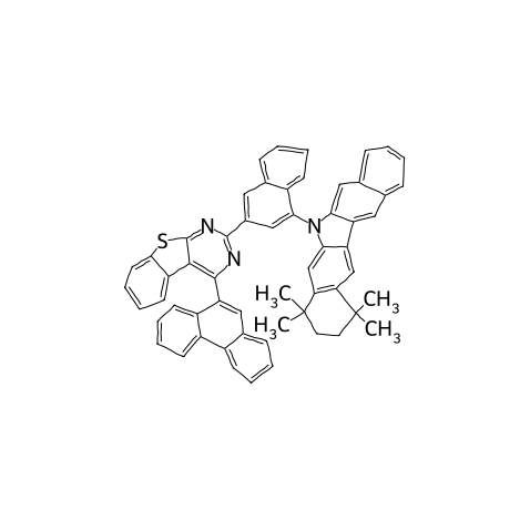 CC1(C)CCC(C)(C)c2cc3c(cc21)c1cc2ccccc2cc1n3-c1cc(-c2nc(-c3cc4ccccc4c4ccccc34)c3c(n2)sc2ccccc23)cc2ccccc12